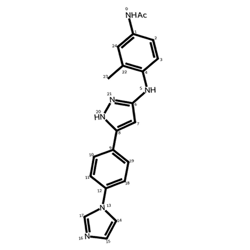 CC(=O)Nc1ccc(Nc2cc(-c3ccc(-n4ccnc4)cc3)[nH]n2)c(C)c1